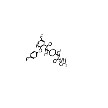 CNC(=O)NC1CCC(NC(=O)c2cc(F)cnc2Oc2ccc(F)cc2)CC1